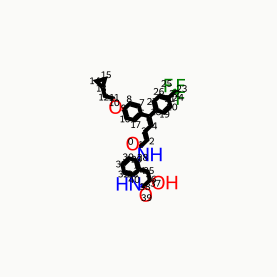 O=C(/C=C/C=C(\c1ccc(OCCC2CC2)cc1)c1ccc(C(F)(F)F)cc1)Nc1cccc2c1CC(O)C(=O)N2